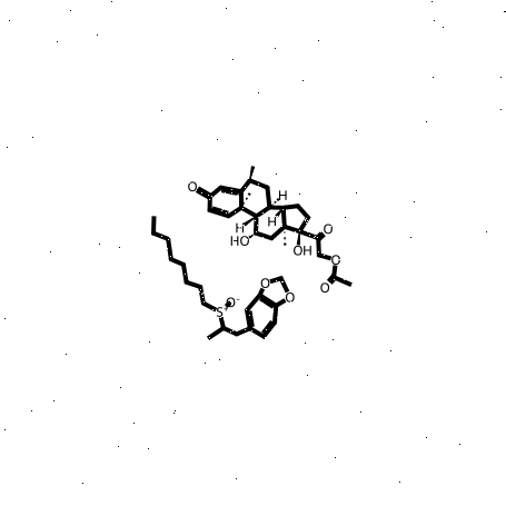 CC(=O)OCC(=O)[C@@]1(O)CC[C@H]2[C@@H]3C[C@H](C)C4=CC(=O)C=C[C@]4(C)[C@H]3[C@@H](O)C[C@@]21C.CCCCCCCC[S+]([O-])C(C)Cc1ccc2c(c1)OCO2